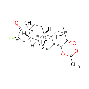 CC(=O)OC1=C2C=C[C@H]3[C@@H]4C[C@@H](F)C(=O)[C@@]4(C)CC[C@@H]3[C@@]2(C)C2C[C@@H]2C1=O